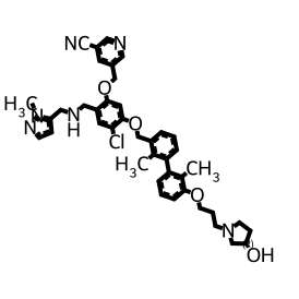 Cc1c(COc2cc(OCc3cncc(C#N)c3)c(CNCc3ccnn3C)cc2Cl)cccc1-c1cccc(OCCCN2CC[C@@H](O)C2)c1C